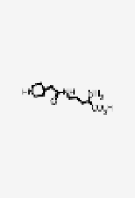 NC(CCCNC(=O)CC1CCNCC1)C(=O)O